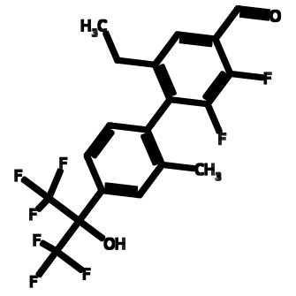 CCc1cc(C=O)c(F)c(F)c1-c1ccc(C(O)(C(F)(F)F)C(F)(F)F)cc1C